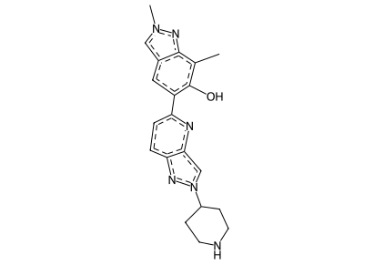 Cc1c(O)c(-c2ccc3nn(C4CCNCC4)cc3n2)cc2cn(C)nc12